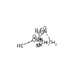 C#CC#CC#CC#COc1ccccc1-c1nc2c(-c3cnccn3)c(C)nn2\c1=C/C=C/C=C1/N(CCCCCCCC)c2ccccc2C1(C)C